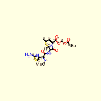 CON=C(C(=O)NC1C(=O)N2C(C(=O)OCOC(=O)C(C)(C)C)=CC(C)S[C@@H]12)c1csc(N)n1